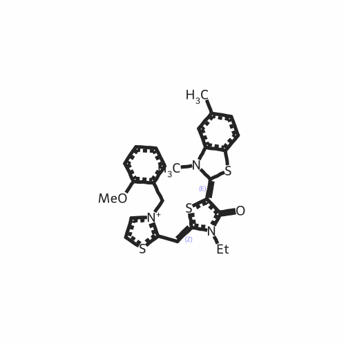 CCn1c(=O)/c(=C2\Sc3ccc(C)cc3N2C)s/c1=C\c1scc[n+]1Cc1ccccc1OC